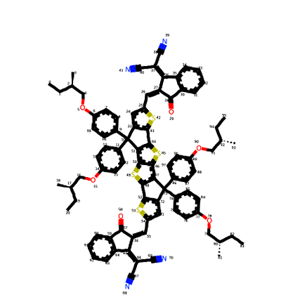 CC[C@@H](C)COc1ccc(C2(c3ccc(OC[C@H](C)CC)cc3)c3cc(/C=C4\C(=O)c5ccccc5C4=C(C#N)C#N)sc3-c3sc4c5c(sc4c32)-c2sc(/C=C3\C(=O)c4ccccc4C3=C(C#N)C#N)cc2C5(c2ccc(OC[C@@H](C)CC)cc2)c2ccc(OC[C@@H](C)CC)cc2)cc1